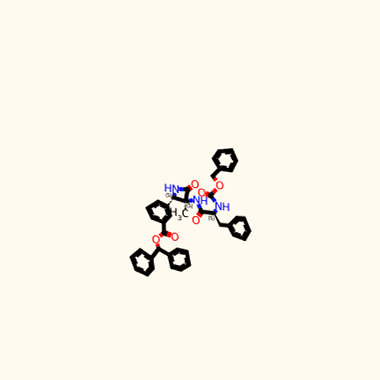 C[C@@]1(NC(=O)[C@H](Cc2ccccc2)NC(=O)OCc2ccccc2)C(=O)N[C@H]1c1cccc(C(=O)OC(c2ccccc2)c2ccccc2)c1